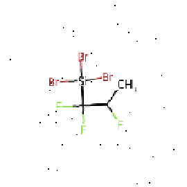 CC(F)C(F)(F)[Si](Br)(Br)Br